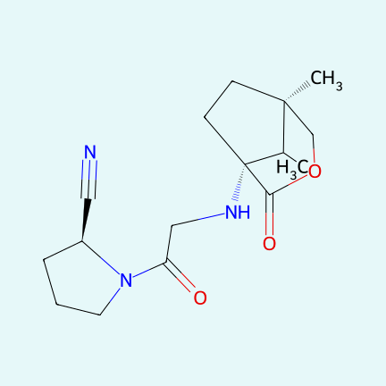 CC1[C@@]2(C)CC[C@]1(NCC(=O)N1CCC[C@H]1C#N)C(=O)OC2